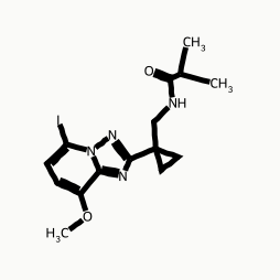 COc1ccc(I)n2nc(C3(CNC(=O)C(C)C)CC3)nc12